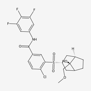 COC[C@@]1(O)C2CC[C@@H]1C[C@@H](S(=O)(=O)c1cc(C(=O)Nc3cc(F)c(F)c(F)c3)ccc1Cl)C2